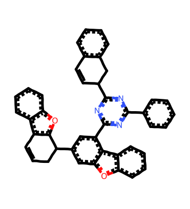 C1=Cc2c(oc3ccccc23)C(c2cc(-c3nc(-c4ccccc4)nc(C4C=Cc5ccccc5C4)n3)c3c(c2)oc2ccccc23)C1